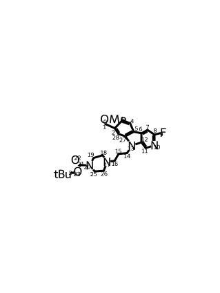 COCc1ccc2c3cc(F)ncc3n(CCCN3CCN(C(=O)OC(C)(C)C)CC3)c2c1